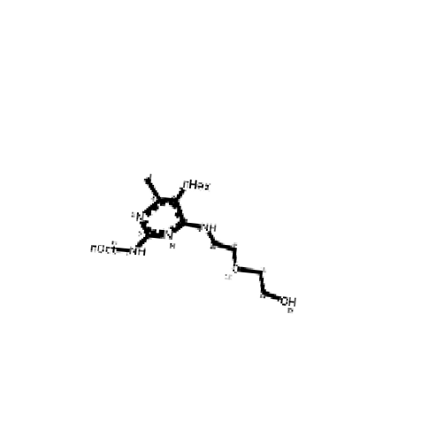 CCCCCCCCNc1nc(C)c(CCCCCC)c(NCCOCCO)n1